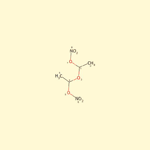 CC(OC(C)O[N+](=O)[O-])O[N+](=O)[O-]